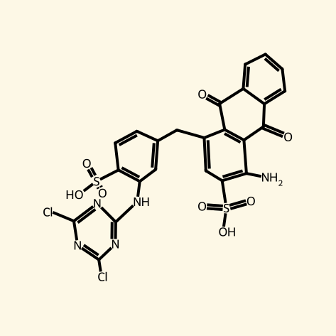 Nc1c(S(=O)(=O)O)cc(Cc2ccc(S(=O)(=O)O)c(Nc3nc(Cl)nc(Cl)n3)c2)c2c1C(=O)c1ccccc1C2=O